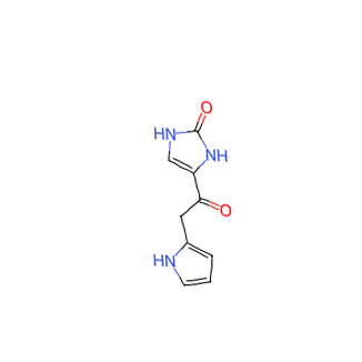 O=C(Cc1ccc[nH]1)c1c[nH]c(=O)[nH]1